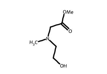 COC(=O)CN(C)CCO